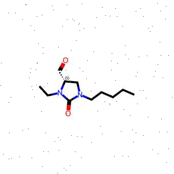 CCCCCN1C[C@@H](C=O)N(CC)C1=O